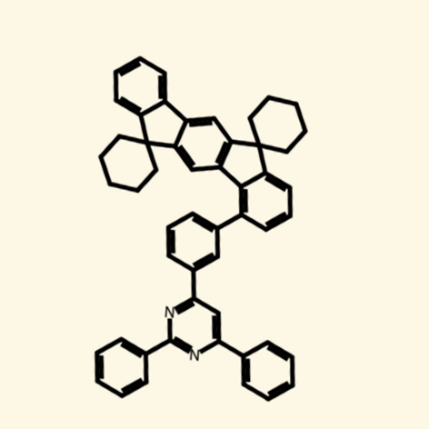 c1ccc(-c2cc(-c3cccc(-c4cccc5c4-c4cc6c(cc4C54CCCCC4)-c4ccccc4C64CCCCC4)c3)nc(-c3ccccc3)n2)cc1